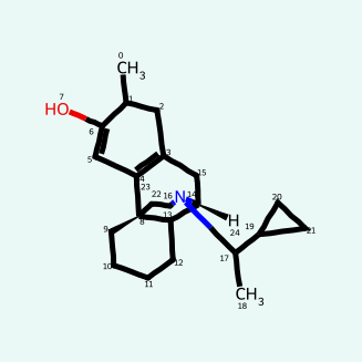 CC1CC2=C(C=C1O)[C@@]13CCCCC1[C@@H](C2)N(C(C)C1CC1)CC3